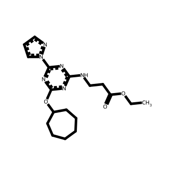 CCOC(=O)CCNc1nc(OC2CCCCCC2)nc(-n2cccn2)n1